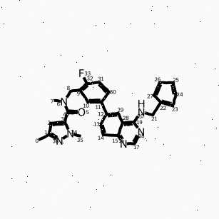 Cc1cc(C(=O)N(C)Cc2cc(-c3ccc4ncnc(NCc5ccccc5)c4c3)ccc2F)n(C)n1